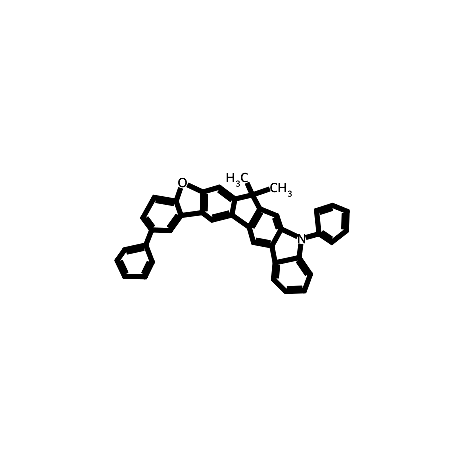 CC1(C)c2cc3oc4ccc(-c5ccccc5)cc4c3cc2-c2cc3c4ccccc4n(-c4ccccc4)c3cc21